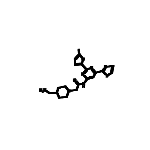 Cc1ccc(-c2nc(NC(=O)CN3CCC(CN)CC3)cc(-c3nccs3)n2)o1